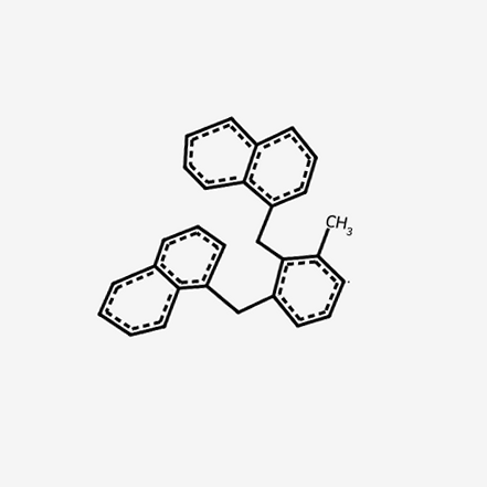 Cc1[c]ccc(Cc2cccc3ccccc23)c1Cc1cccc2ccccc12